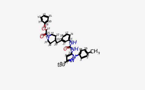 Cc1ccc(-n2nc(C(C)(C)C)cc2NC(=O)Nc2cccc(CC3CCN(C(=O)COc4ccccc4)CC3)c2)cc1